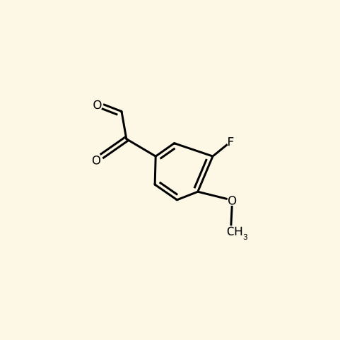 COc1ccc(C(=O)C=O)cc1F